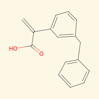 C=C(C(=O)O)c1cccc(Cc2ccccc2)c1